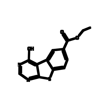 CCOC(=O)c1ccc2sc3ncnc(O)c3c2c1